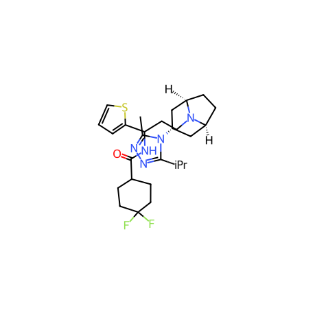 Cc1nnc(C(C)C)n1[C@@H]1C[C@H]2CC[C@@H](C1)N2CCC(NC(=O)C1CCC(F)(F)CC1)c1cccs1